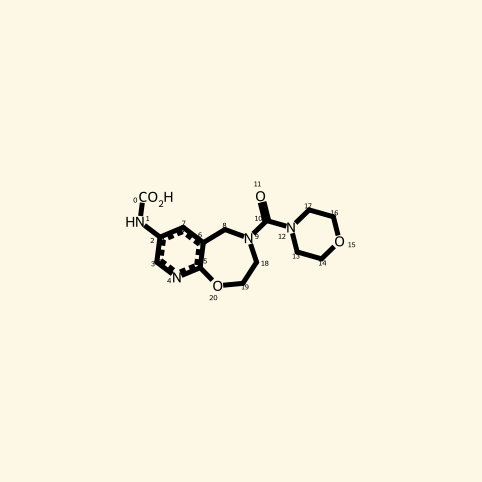 O=C(O)Nc1cnc2c(c1)CN(C(=O)N1CCOCC1)CCO2